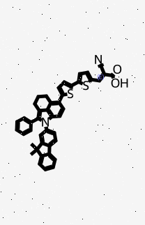 CC1(C)c2ccccc2-c2ccc(-n3c(-c4ccccc4)c4c5c(c(-c6ccc(-c7ccc(/C=C(\C#N)C(=O)O)s7)s6)ccc53)CCC4)cc21